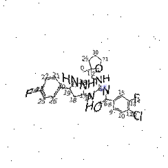 CC1(CN/C(=N/C(=O)c2ccc(Cl)c(F)c2)NC2CC(c3ccc(F)cc3)NN2)CCCO1